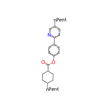 CCCCCc1ccc(-c2ccc(OC(=O)C3CCC(CCCCC)CC3)cc2)nc1